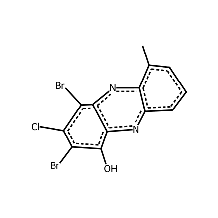 Cc1cccc2nc3c(O)c(Br)c(Cl)c(Br)c3nc12